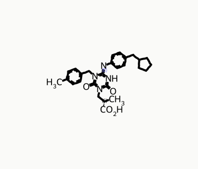 Cc1ccc(Cn2c(=O)n(C[C@H](C)C(=O)O)c(=O)[nH]/c2=N\c2ccc(CC3CCCC3)cc2)cc1